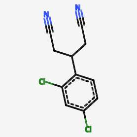 N#CCC(CC#N)c1ccc(Cl)cc1Cl